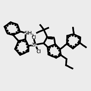 CCCc1ccc2c(c1-c1cc(C)cc(C)c1)C=C(C(C)(C)C)[CH]2[Zr]([Cl])([Cl])[c]1cccc2c1[SiH2]c1ccccc1-2